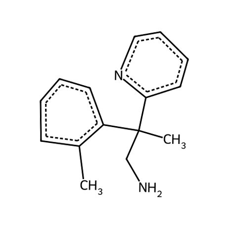 Cc1ccccc1C(C)(CN)c1ccccn1